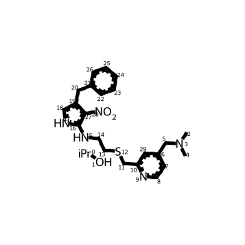 CC(C)O.CN(C)Cc1ccnc(CSCCNc2[nH]cc(Cc3ccccc3)c2[N+](=O)[O-])c1